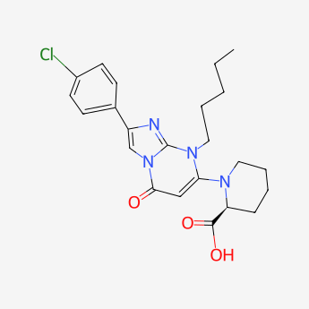 CCCCCn1c(N2CCCC[C@H]2C(=O)O)cc(=O)n2cc(-c3ccc(Cl)cc3)nc12